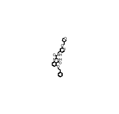 O=C(NCc1ccnc(OCC2CCOC2)c1)c1nc2cccc(OCCc3ccccc3)c2c(=O)[nH]1